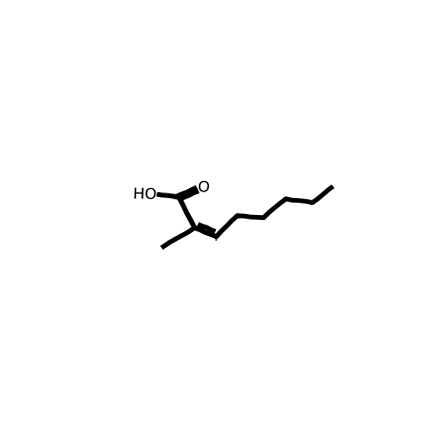 CCCCC[C]=C(C)C(=O)O